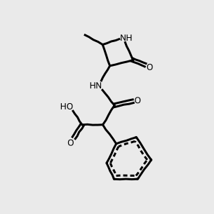 CC1NC(=O)C1NC(=O)C(C(=O)O)c1ccccc1